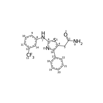 NC(=O)Cc1sc(Nc2cccc(C(F)(F)F)c2)nc1-c1ccccc1